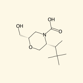 CC([C@@H]1CO[C@H](CO)CN1C(=O)O)C(C)(C)C